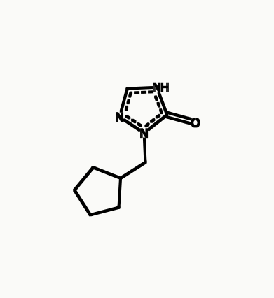 O=c1[nH]cnn1CC1CCCC1